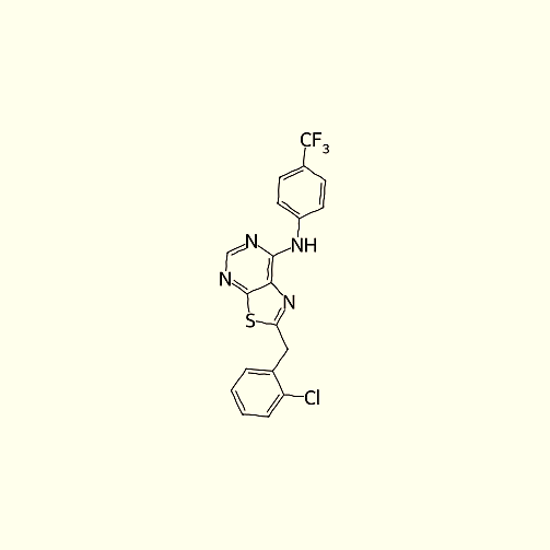 FC(F)(F)c1ccc(Nc2ncnc3sc(Cc4ccccc4Cl)nc23)cc1